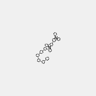 c1ccc(-c2cccc(-c3cccc(-c4cccc(-c5ccc(-c6cccc(-c7ccccc7-n7c8ccccc8c8cc(-c9ccc%10c(c9)c9ccccc9n%10-c9ccccc9)ccc87)c6)cc5)c4)c3)c2)cc1